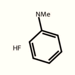 CNc1ccccc1.F